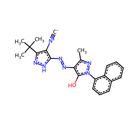 [C-]#[N+]c1c(C(C)(C)C)n[nH]c1/N=N/c1c(C)nn(-c2cccc3ccccc23)c1O